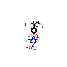 C[C@H]1CN(C(=O)O)C[C@H](C)N1S(=O)(=O)c1ccc(C(C)(C)C)cc1